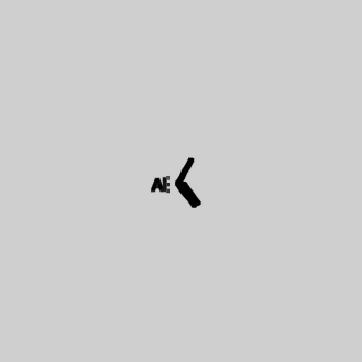 C=CC.[Al]